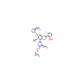 C=CCOCN1CCN(c2c(C#N)c(OC[C@@H]3CCCN3C)nc3c2CCN(c2c(O)cccc2F)C3)C[C@H]1C